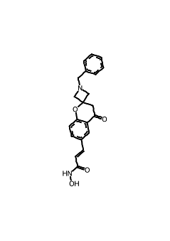 O=C(/C=C/c1ccc2c(c1)C(=O)CC1(CN(Cc3ccccc3)C1)O2)NO